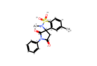 CC(=O)N1C2(CC(=O)N(c3ccccc3)C2=O)c2cc(C)ccc2S1(=O)=O